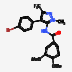 COc1ccc(C(=O)Nc2c(-c3ccc(Br)cc3)c(C(F)(F)F)nn2C)cc1OC